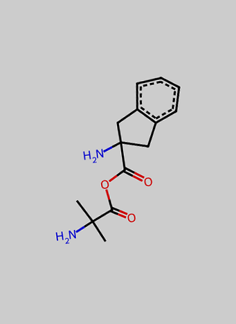 CC(C)(N)C(=O)OC(=O)C1(N)Cc2ccccc2C1